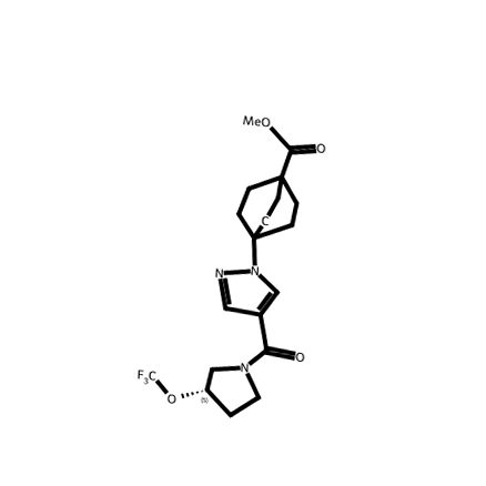 COC(=O)C12CCC(n3cc(C(=O)N4CC[C@H](OC(F)(F)F)C4)cn3)(CC1)CC2